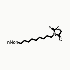 CCCCCCCCCCCCCCCCCCN1C(=O)CSC1=S